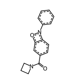 O=C(c1ccc2c(c1)on2-c1ccccc1)N1CCC1